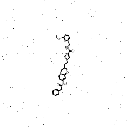 Cc1cccc(CNC(=O)c2cn(CCC(F)Cn3ccc(NC(=O)Cc4ccccc4)cc3=O)nn2)n1